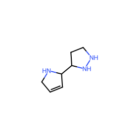 C1=CC(C2CCNN2)NC1